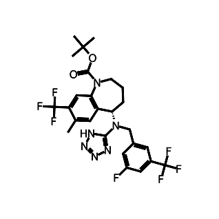 Cc1cc2c(cc1C(F)(F)F)N(C(=O)OC(C)(C)C)CCC[C@@H]2N(Cc1cc(F)cc(C(F)(F)F)c1)c1nnn[nH]1